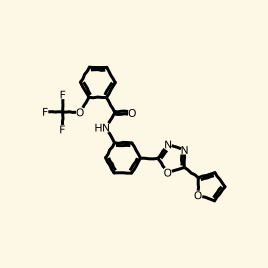 O=C(Nc1cccc(-c2nnc(-c3ccco3)o2)c1)c1ccccc1OC(F)(F)F